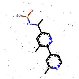 Cc1cc(-c2ncc(C(C)N[S+]([O-])C(C)(C)C)cc2C)ccn1